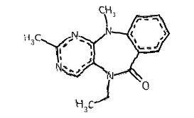 CCN1C(=O)c2ccccc2N(C)c2nc(C)ncc21